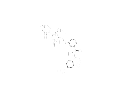 Cc1ccc2c(c1)OCC[C@@H]2NC(=O)c1cccc(NCC2NNC(C3CCNCN3)N2C)c1